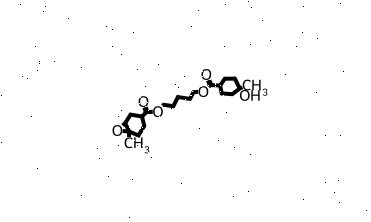 CC1(O)CCC(C(=O)OCCCCCOC(=O)C2CCC3(C)OC3C2)CC1